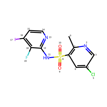 Cc1ncc(Cl)cc1S(=O)(=O)Nc1nccc(I)c1F